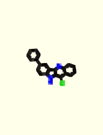 Clc1c2ccccc2nc2c1[nH]c1ccc(-c3ccccc3)cc12